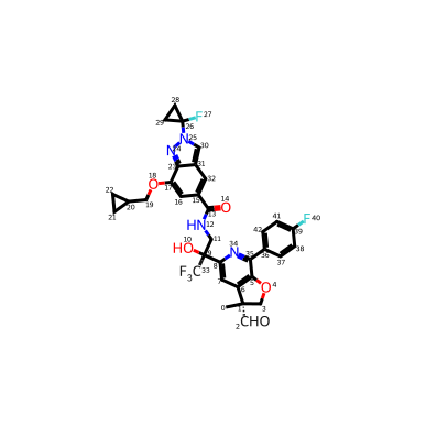 C[C@]1(C=O)COc2c1cc(C(O)(CNC(=O)c1cc(OCC3CC3)c3nn(C4(F)CC4)cc3c1)C(F)(F)F)nc2-c1ccc(F)cc1